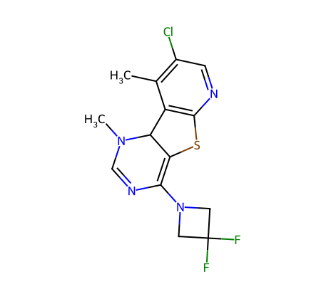 Cc1c(Cl)cnc2c1C1C(=C(N3CC(F)(F)C3)N=CN1C)S2